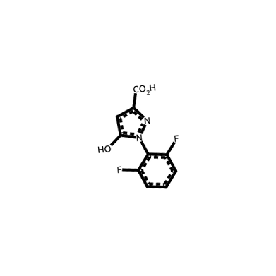 O=C(O)c1cc(O)n(-c2c(F)cccc2F)n1